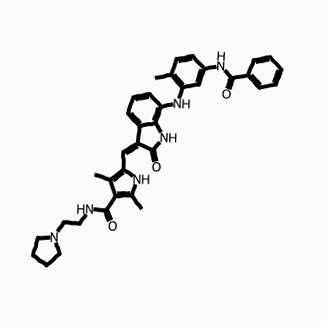 Cc1ccc(NC(=O)c2ccccc2)cc1Nc1cccc2c1NC(=O)C2=Cc1[nH]c(C)c(C(=O)NCCN2CCCC2)c1C